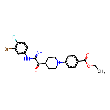 CCOC(=O)c1ccc(N2CCC(C(=O)C(=N)Nc3ccc(F)c(Br)c3)CC2)cc1